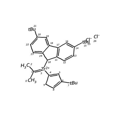 C[C](C)=[Zr+2]([C]1=CC(C(C)(C)C)=CC1)[CH]1c2ccc(C(C)(C)C)cc2-c2cc(C(C)(C)C)ccc21.[Cl-].[Cl-]